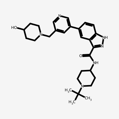 CC(C)(C)N1CCC(NC(=O)c2n[nH]c3ccc(-c4cncc(CN5CCC(O)CC5)c4)cc23)CC1